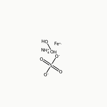 O=S(=O)([O-])[O-].OO.[Fe+].[NH4+]